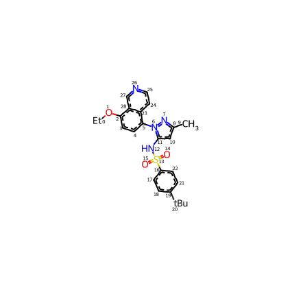 CCOc1ccc(-n2nc(C)cc2NS(=O)(=O)c2ccc(C(C)(C)C)cc2)c2ccncc12